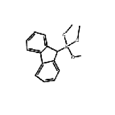 CO[Si](OC)(OC)C1c2ccccc2-c2ccccc21